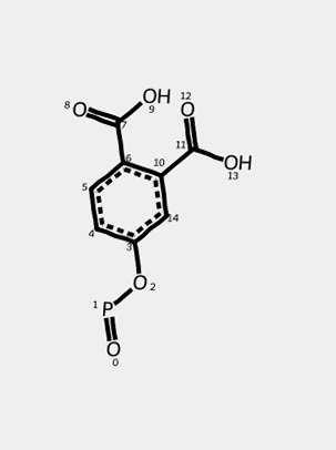 O=POc1ccc(C(=O)O)c(C(=O)O)c1